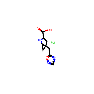 Cl.O=C(O)C1CC2(Cc3ncno3)CC2N1